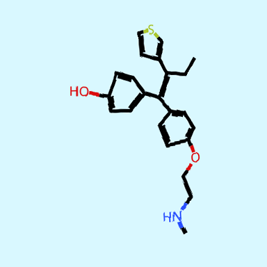 CCC(=C(c1ccc(O)cc1)c1ccc(OCCNC)cc1)c1ccsc1